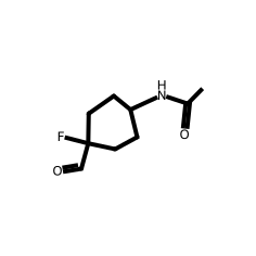 CC(=O)NC1CCC(F)(C=O)CC1